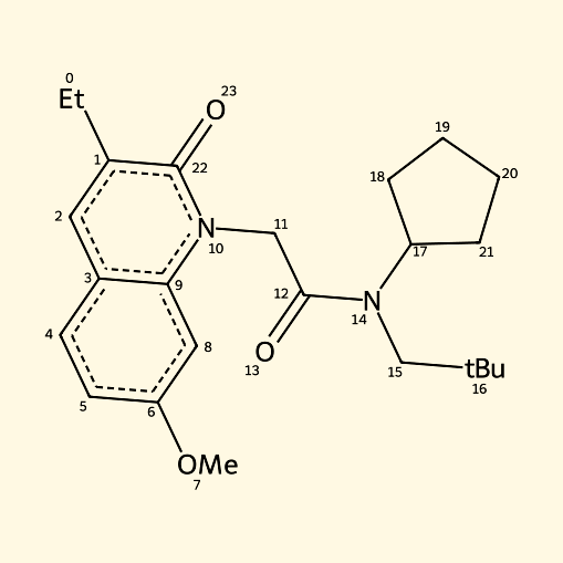 CCc1cc2ccc(OC)cc2n(CC(=O)N(CC(C)(C)C)C2CCCC2)c1=O